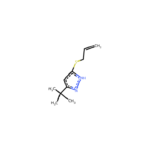 C=CCSc1cc(C(C)(C)C)n[nH]1